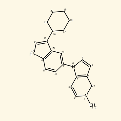 CN1C=Cc2c(ccn2-c2ccc3[nH]cc(C4CCCCC4)c3c2)C1